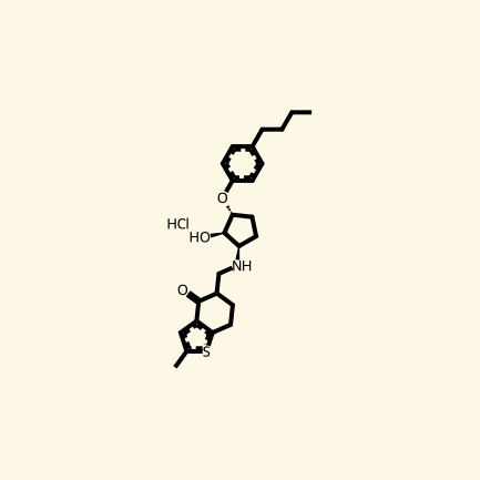 CCCCc1ccc(O[C@@H]2CC[C@@H](NCC3CCc4sc(C)cc4C3=O)[C@H]2O)cc1.Cl